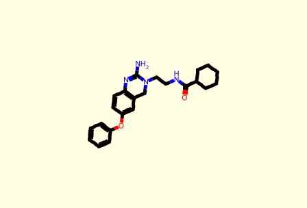 NC1=Nc2ccc(Oc3ccccc3)cc2CN1CCNC(=O)C1CCCCC1